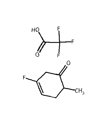 CC1CC=C(F)CC1=O.O=C(O)C(F)(F)F